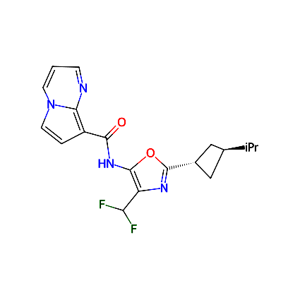 CC(C)[C@H]1C[C@H](c2nc(C(F)F)c(NC(=O)c3ccn4cccnc34)o2)C1